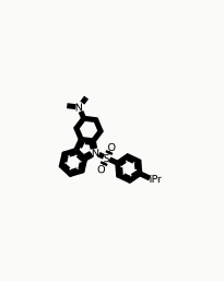 CC(C)c1ccc(S(=O)(=O)n2c3c(c4ccccc42)CC(N(C)C)CC3)cc1